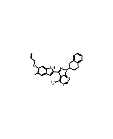 C=CCOc1cc2[nH]c(-c3nn(C4CCc5ccccc5C4)c4ncnc(N)c34)cc2cc1F